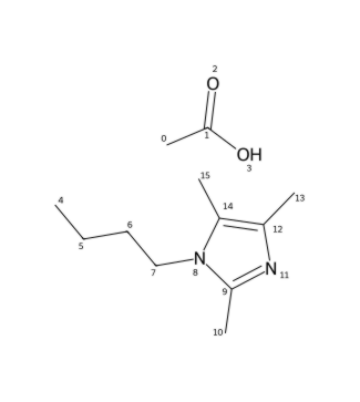 CC(=O)O.CCCCn1c(C)nc(C)c1C